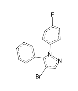 Fc1ccc(-n2ncc(Br)c2-c2ccccc2)cc1